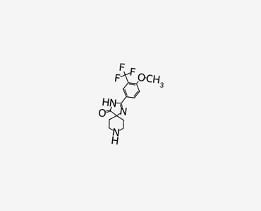 COc1ccc(C2=NC3(CCNCC3)C(=O)N2)cc1C(F)(F)F